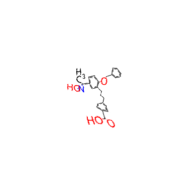 CC(=NO)c1ccc(OCc2ccccc2)c(CCCc2ccc(C(=O)O)cc2)c1